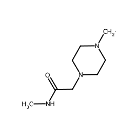 [CH2]N1CCN(CC(=O)NC)CC1